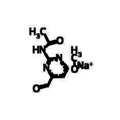 CC(=O)Nc1nccc(C=O)n1.C[O-].[Na+]